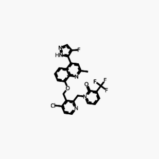 Cc1cc(-c2[nH]ncc2F)c2cccc(OCc3c(Cl)ccnc3Cn3cccc(C(F)(F)F)c3=O)c2n1